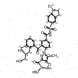 CCCCN(CCCC)C(=O)c1nn(-c2ccc(C(=O)NS(=O)(=O)c3ccc4c(c3)CCN4CC)cc2C(=O)c2cccc3c2CC(CO)NC3)c(C)c1Cl